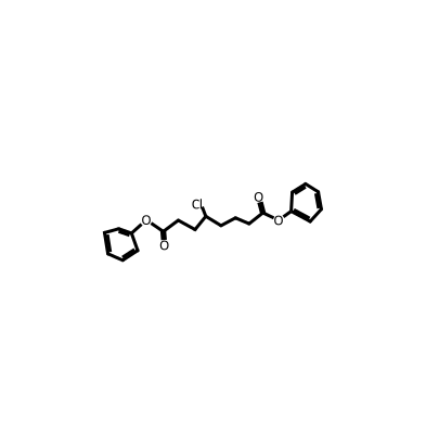 O=C(CCCC(Cl)CCC(=O)Oc1ccccc1)Oc1ccccc1